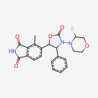 Cc1c(C2OC(=O)N(N3CCOCC3F)C2c2ccccc2)ccc2c1C(=O)NC2=O